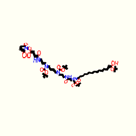 CC(C)(C)OC(=O)[C@H](CCC(=O)NCCCN(CCCCN(CCCNC(=O)CCC(=O)ON1C(=O)CCC1=O)C(=O)OC(C)(C)C)C(=O)OC(C)(C)C)NC(=O)CCCCCCCCCCCCCC(O)OC(C)(C)C